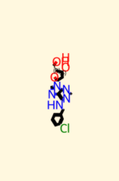 OC[C@H]1OC(n2cnc3c(NCc4cccc(Cl)c4)ncnc32)C[C@@H]1O